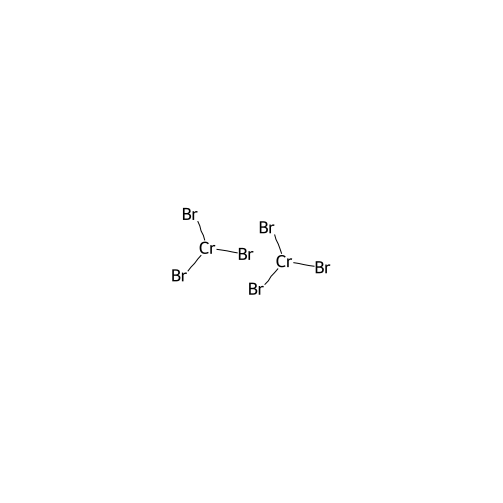 [Br][Cr]([Br])[Br].[Br][Cr]([Br])[Br]